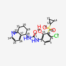 O=C(Nc1ccc(Cl)c(S(=O)(=O)C2CC2)c1O)N[C@@H]1CCCc2ncccc21